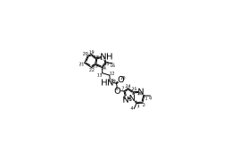 Cc1cc(C)n2nc(OC(=O)NCCc3c(C)[nH]c4ccccc34)cc2n1